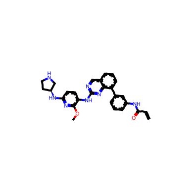 C=CC(=O)Nc1cccc(-c2cccc3cnc(Nc4ccc(N[C@H]5CCNC5)nc4OC)nc23)c1